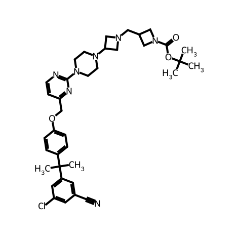 CC(C)(C)OC(=O)N1CC(CN2CC(N3CCN(c4nccc(COc5ccc(C(C)(C)c6cc(Cl)cc(C#N)c6)cc5)n4)CC3)C2)C1